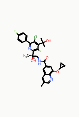 Cc1cnc2c(OC3CC3)cc(C(=O)NC[C@](O)(c3nc(-c4ccc(F)cc4)c(Cl)c(C(C)(C)O)c3F)C(F)(F)F)cc2c1